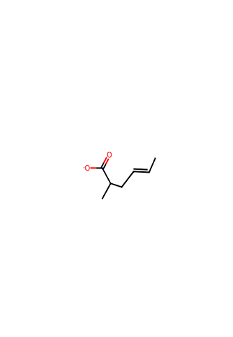 CC=CCC(C)C([O])=O